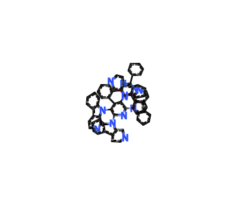 c1ccc(-c2nc(-c3ccccc3)nc(-c3ccccc3-c3c(-n4c5ccccc5c5ccncc54)c(-n4c5ccccc5c5ccncc54)nc(-n4c5ccccc5c5ccncc54)c3-n3c4ccccc4c4ccncc43)n2)cc1